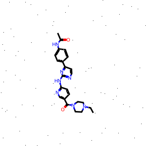 CCN1CCN(C(=O)c2ccc(Nc3nccc(-c4ccc(NC(C)=O)cc4)n3)nc2)CC1